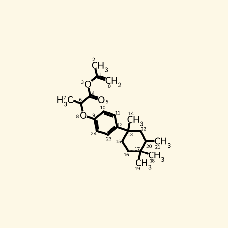 C=C(C)OC(=O)C(C)Oc1ccc(C2(C)CCC(C)(C)C(C)C2)cc1